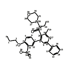 CCCOc1ccc(-c2cc(-c3ccccc3)nc(C)c2C(=O)N(CC)N2CCOCC2)cc1[N+](=O)[O-]